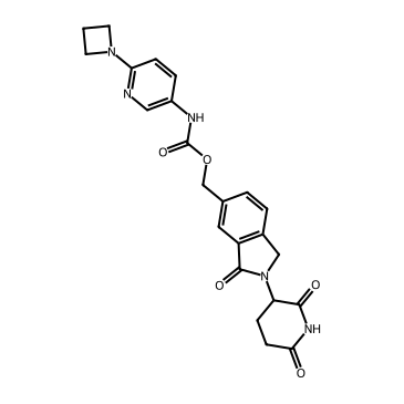 O=C1CCC(N2Cc3ccc(COC(=O)Nc4ccc(N5CCC5)nc4)cc3C2=O)C(=O)N1